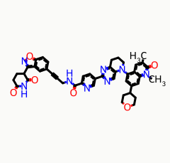 Cc1cc2c(N3CCCc4nc(-c5ccc(C(=O)NCC#Cc6ccc7onc(C8CCC(=O)NC8=O)c7c6)nc5)ncc43)cc(C3CCOCC3)cc2n(C)c1=O